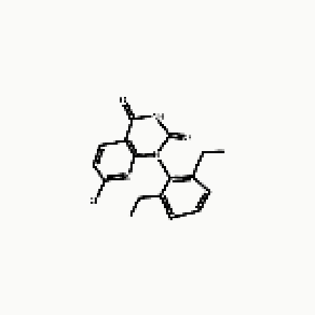 CCc1cccc(CC)c1-n1c(=O)[nH]c(=O)c2ccc(Cl)nc21